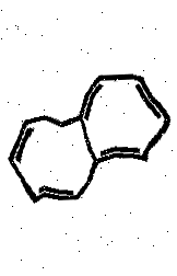 [c]1cc[c]c2ccccc12